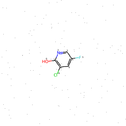 Oc1ncc(F)cc1Cl